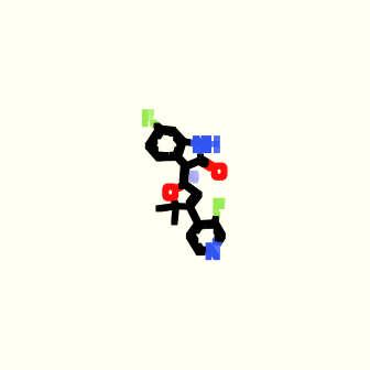 CC1(C)O/C(=C2/C(=O)Nc3cc(F)ccc32)C=C1c1ccncc1F